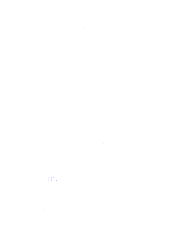 COc1ccc(CCC(CCNC=O)Oc2ccccc2C)cc1